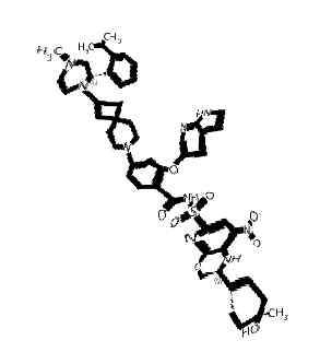 CC(C)c1ccccc1[C@H]1CN(C)CCN1C1CC2(CCN(c3ccc(C(=O)NS(=O)(=O)c4cc([N+](=O)[O-])c5c(n4)OC[C@H]([C@H]4CC[C@](C)(O)CC4)N5)c(Oc4cnc5[nH]ccc5c4)c3)CC2)C1